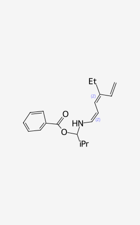 C=C/C(=C\C=C/NC(OC(=O)c1ccccc1)C(C)C)CC